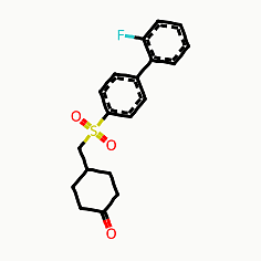 O=C1CCC(CS(=O)(=O)c2ccc(-c3ccccc3F)cc2)CC1